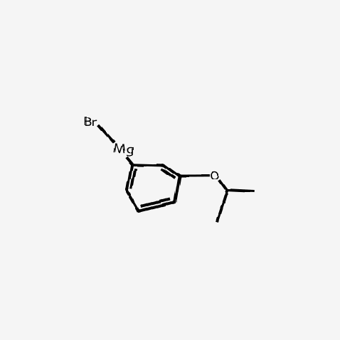 CC(C)Oc1ccc[c]([Mg][Br])c1